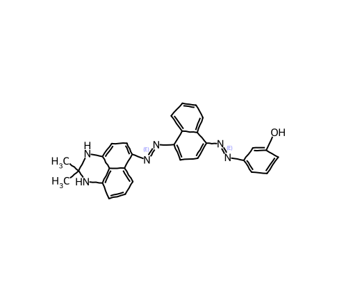 CC1(C)Nc2cccc3c(/N=N/c4ccc(/N=N/c5cccc(O)c5)c5ccccc45)ccc(c23)N1